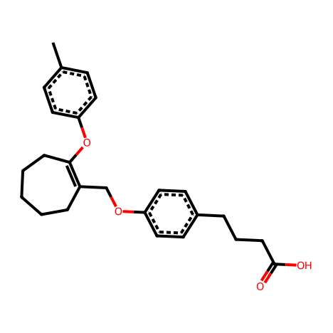 Cc1ccc(OC2=C(COc3ccc(CCCC(=O)O)cc3)CCCCC2)cc1